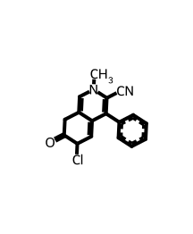 CN1C=C2CC(=O)C(Cl)C=C2C(c2ccccc2)=C1C#N